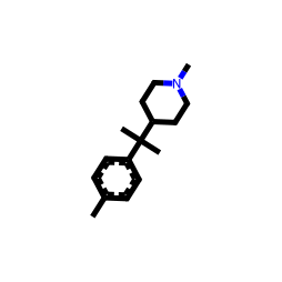 Cc1ccc(C(C)(C)C2CCN(C)CC2)cc1